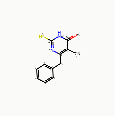 N#Cc1c(Cc2ccccc2)nc(S)[nH]c1=O